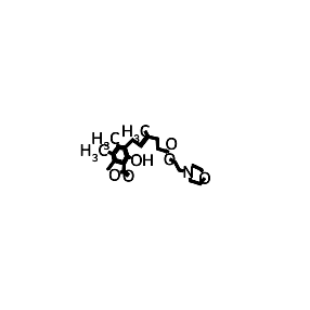 C/C(=C\Cc1c(C)c(C)c2c(c1O)C(=O)OC2)CCC(=O)OCCN1CCOCC1